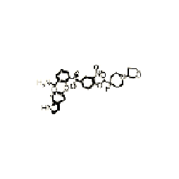 NC(=O)c1cccc(S(=O)(=O)c2ccc(OCC3(F)CCN(C4CCOC4)CC3)c([N+](=O)[O-])c2)c1Oc1cnc2[nH]ccc2c1